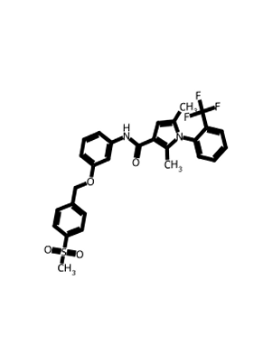 Cc1cc(C(=O)Nc2cccc(OCc3ccc(S(C)(=O)=O)cc3)c2)c(C)n1-c1ccccc1C(F)(F)F